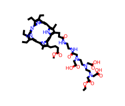 CCOC(=O)CN(CCN(CCN(CC(=O)O)CC(=O)NCCNC(=O)CCc1c(C)c2cc3nc(nc4[nH]c(cc5nc(cc1[nH]2)C(CCCC(=O)OC)=C5C)c(CC)c4CC)C(CC)=C3CC)CC(=O)O)CC(=O)O